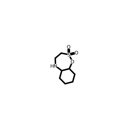 O=S1(=O)CCNC2CCCCC2O1